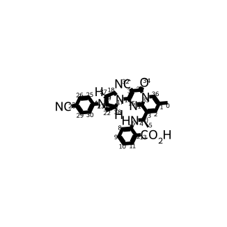 Cc1cc([C@@H](C)Nc2ccccc2C(=O)O)c2nc(N3C[C@H]4C[C@@H]3CN4c3ccc(C#N)cc3)c(C#N)c(=O)n2c1